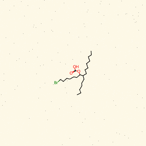 CCCCCCCCC(CCCCCC)C(CCCCCCBr)OC(=O)O